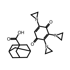 O=C(O)C12CC3CC(CC(C3)C1)C2.O=C1C=C(N2CC2)C(=O)C(N2CC2)=C1N1CC1